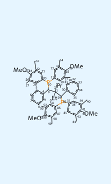 CCC(C(C)C)(C(c1ccccc1)P(c1cc(C)c(OC)c(C)c1)c1cc(C)c(OC)c(C)c1)C(c1ccccc1)P(c1cc(C)c(OC)c(C)c1)c1cc(C)c(OC)c(C)c1